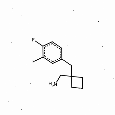 NCC1(Cc2ccc(F)c(F)c2)CCC1